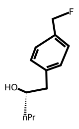 CCC[C@H](O)Cc1ccc(CF)cc1